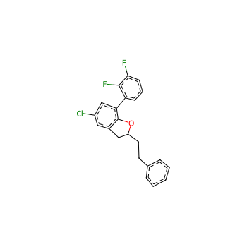 Fc1cccc(-c2cc(Cl)cc3c2OC(CCc2ccccc2)C3)c1F